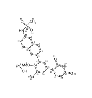 CC(C)O.COc1c(-c2ccc3cc(NS(C)(=O)=O)ccc3c2)cc(-n2ccc(=O)[nH]c2=O)cc1C(C)(C)C